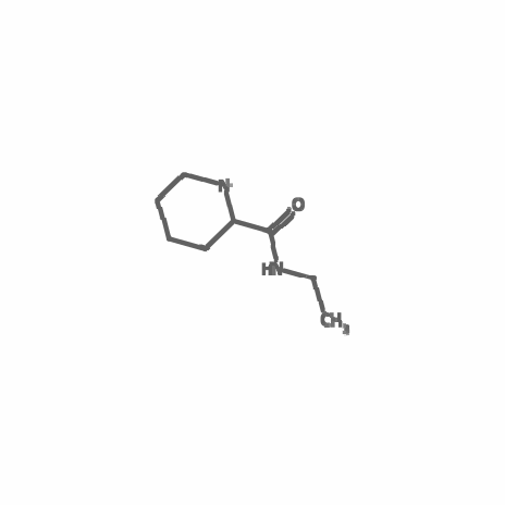 CCNC(=O)C1CCCC[N]1